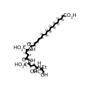 CC[C@@](C=O)(CO)NC(=O)CC[C@H](NC(=O)CC[C@H](NC(=O)CCCCCCCCCCCCCCCCC(=O)O)C(=O)O)C(=O)O